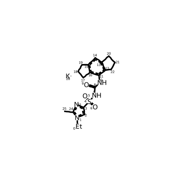 CCn1cc(S(=O)(=O)NC(=O)Nc2c3c(cc4c2CCC4)CCC3)nc1C.[K]